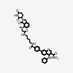 CN(CC(=O)NCCCCNC(=O)c1ccc(-c2ccc3c(Nc4ccccc4)c(C(N)=O)cnc3c2)cc1)c1cccc2c1C(=O)N(C1CCC(=O)NC1=O)C2